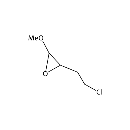 COC1OC1CCCl